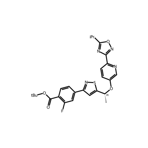 CC(C)c1nc(-c2ccc(O[C@H](C)c3cc(-c4ccc(C(=O)OC(C)(C)C)c(F)c4)ns3)cn2)no1